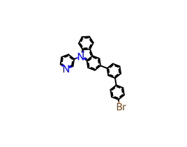 Brc1ccc(-c2cccc(-c3ccc4c(c3)c3ccccc3n4-c3cccnc3)c2)cc1